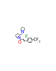 O=C(C=Cc1ccc(C(F)(F)F)cc1F)N1CCCC1CN1CCCC1